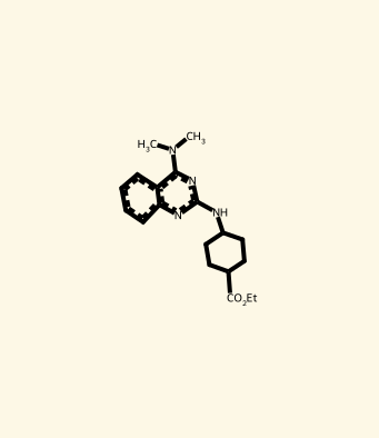 CCOC(=O)C1CCC(Nc2nc(N(C)C)c3ccccc3n2)CC1